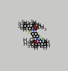 [2H]c1c([2H])c([2H])c(-c2cc(F)c(N(c3ccc(C)c(C)c3)c3ccc4ccc5c(N(c6ccc(C)c(C)c6)c6c(F)cc(-c7c([2H])c([2H])c([2H])c([2H])c7[2H])cc6-c6c([2H])c([2H])c([2H])c([2H])c6[2H])ccc6ccc3c4c65)c(-c3c([2H])c([2H])c([2H])c([2H])c3[2H])c2)c([2H])c1[2H]